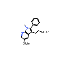 COc1cnc2c(c1)c(CCNC(C)=O)c(-c1ccccc1)n2C